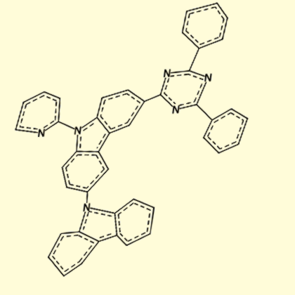 c1ccc(-c2nc(-c3ccccc3)nc(-c3ccc4c(c3)c3cc(-n5c6ccccc6c6ccccc65)ccc3n4-c3ccccn3)n2)cc1